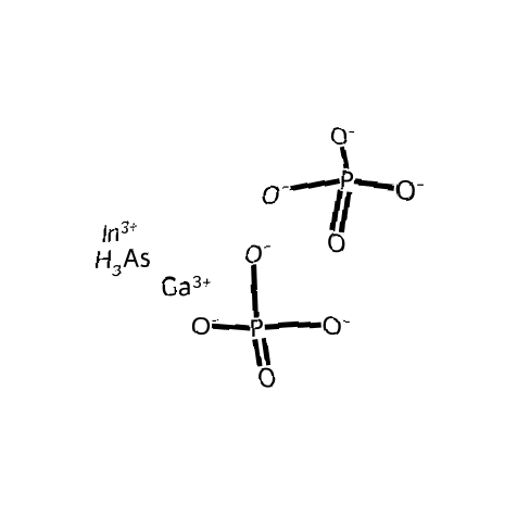 O=P([O-])([O-])[O-].O=P([O-])([O-])[O-].[AsH3].[Ga+3].[In+3]